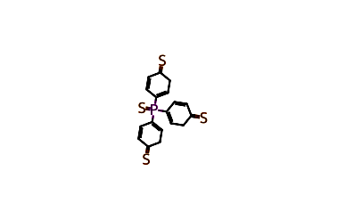 S=C1C=CC(P(=S)(C2=CCC(=S)C=C2)C2=CCC(=S)C=C2)=CC1